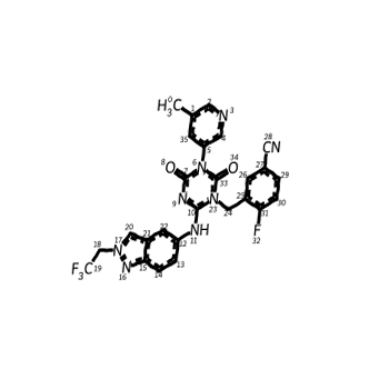 Cc1cncc(-n2c(=O)nc(Nc3ccc4nn(CC(F)(F)F)cc4c3)n(Cc3cc(C#N)ccc3F)c2=O)c1